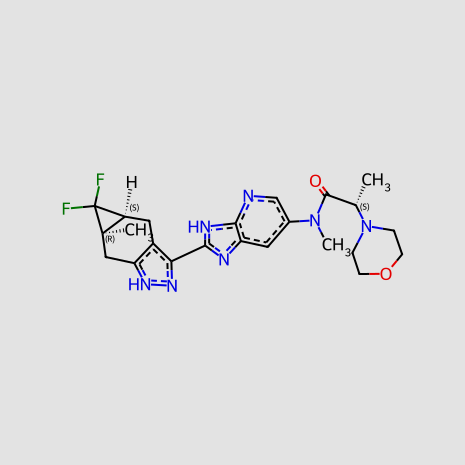 C[C@@H](C(=O)N(C)c1cnc2[nH]c(-c3n[nH]c4c3C[C@@H]3C(F)(F)[C@]3(C)C4)nc2c1)N1CCOCC1